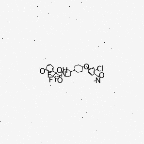 COc1cccc([C@@](O)(C(=O)N2CCC(C3CCC(Oc4ccc(C(=O)N(C)C)c(Cl)c4)CC3)CC2)C(F)(F)F)c1